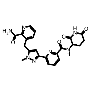 Cn1nc(-c2cccc(C(=O)NC3CCC(=O)NC3=O)n2)cc1Cc1cccnc1C(N)=O